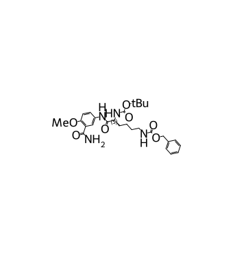 COc1ccc(NC(=O)[C@H](CCCCNC(=O)OCc2ccccc2)NC(=O)OC(C)(C)C)cc1C(N)=O